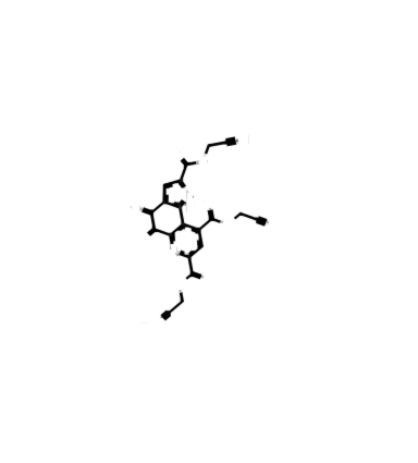 C#CCOC(=O)c1cc(C(=O)OCC#C)c2c(n1)C(=O)C(=O)c1cc(C(=O)OCC#C)[nH]c1-2